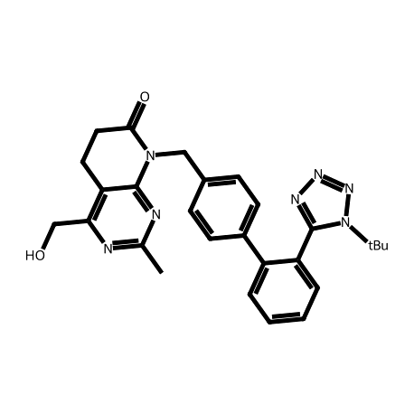 Cc1nc(CO)c2c(n1)N(Cc1ccc(-c3ccccc3-c3nnnn3C(C)(C)C)cc1)C(=O)CC2